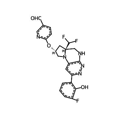 O=Cc1ccc(O[C@H]2CN3c4cc(-c5cccc(F)c5O)nnc4NC[C@@]3(C(F)F)C2)nc1